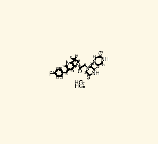 C[C@@H]1CN(CC(=O)N2CC(C)(C)c3ncc(Cc4ccc(F)cc4)cc32)[C@@H](CN2CCNC(=O)C2)CN1.Cl.Cl